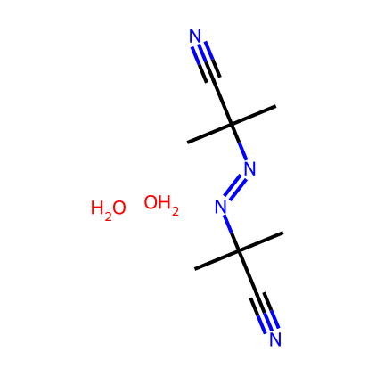 CC(C)(C#N)N=NC(C)(C)C#N.O.O